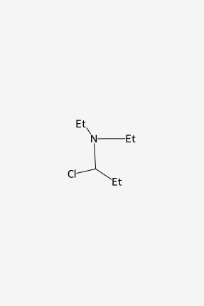 CCC(Cl)N(CC)CC